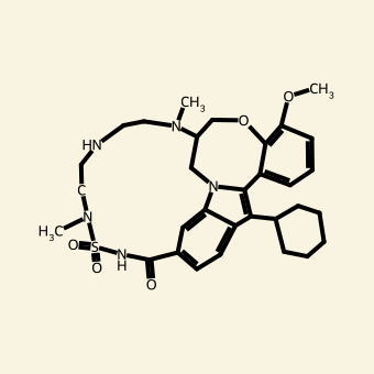 COc1cccc2c1OCC1Cn3c-2c(C2CCCCC2)c2ccc(cc23)C(=O)NS(=O)(=O)N(C)CCNCCN1C